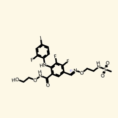 CS(=O)(=O)NCCO/N=C/c1cc(C(=O)NOCCO)c(Nc2ccc(I)cc2F)c(F)c1F